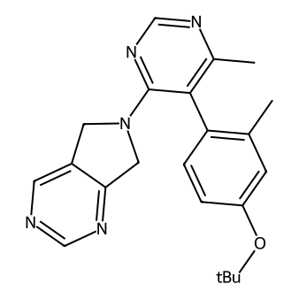 Cc1cc(OC(C)(C)C)ccc1-c1c(C)ncnc1N1Cc2cncnc2C1